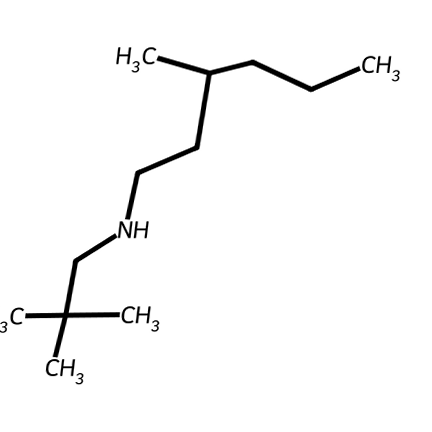 CCCC(C)CCNCC(C)(C)C